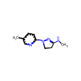 CNC1=NN(c2ccc(C)cn2)CC1